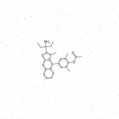 CCC(N)(CC)c1sc2cc3ccccc3c(-c3cc(C)c(OC(C)=O)c(C)c3)c2c1C